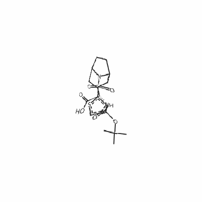 CC(C)(C)OC(=O)N[C@H](C(=O)O)C1CC2CCC(C1)N2S(=O)(=O)c1cccs1